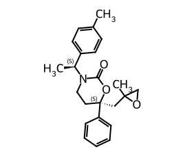 Cc1ccc([C@H](C)N2CC[C@](CC3(C)CO3)(c3ccccc3)OC2=O)cc1